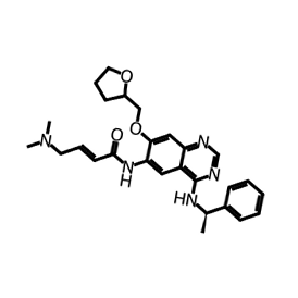 C[C@@H](Nc1ncnc2cc(OCC3CCCO3)c(NC(=O)/C=C/CN(C)C)cc12)c1ccccc1